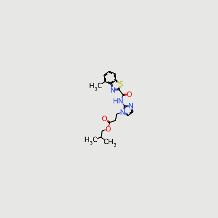 Cc1cccc2sc(C(=O)Nc3nccn3CCC(=O)OCC(C)C)nc12